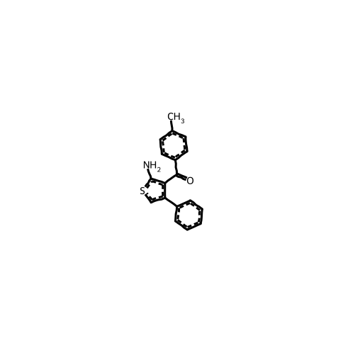 Cc1ccc(C(=O)c2c(-c3ccccc3)csc2N)cc1